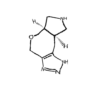 C1O[C@H]2CNC[C@H]2c2[nH]nnc21